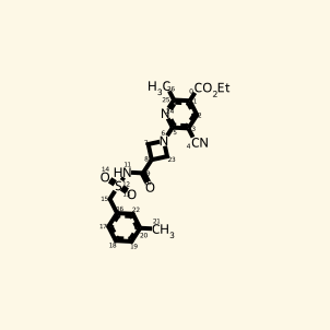 CCOC(=O)c1cc(C#N)c(N2CC(C(=O)NS(=O)(=O)Cc3cccc(C)c3)C2)nc1C